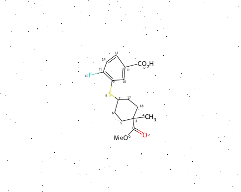 COC(=O)C1(C)CCC(Sc2cc(C(=O)O)ccc2F)CC1